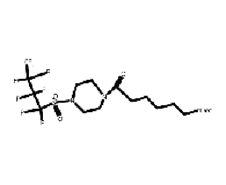 CCCCCCCCCCCCCCCC(=O)N1CCN(S(=O)(=O)C(F)(F)C(F)(F)C(F)(F)C(F)(F)F)CC1